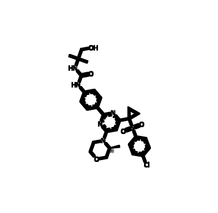 C[C@H]1COCCN1c1cc(C2(S(=O)(=O)c3ccc(Cl)cc3)CC2)nc(-c2ccc(NC(=O)NC(C)(C)CO)cc2)n1